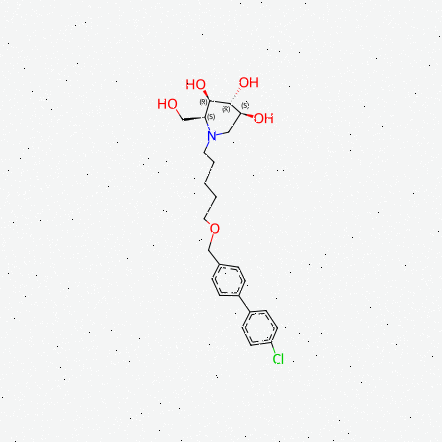 OC[C@H]1[C@@H](O)[C@H](O)[C@@H](O)CN1CCCCCOCc1ccc(-c2ccc(Cl)cc2)cc1